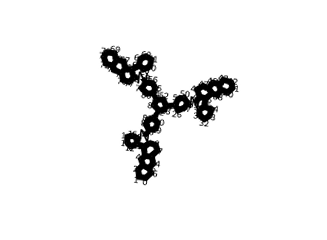 c1ccc2cc3c(ccc4c3c3ccccc3n4-c3ccc(-c4cc(-c5ccc(-n6c7ccccc7c7c8cc9ccccc9cc8ccc76)cc5)cc(-c5ccc(-n6c7ccccc7c7c8cc9ccccc9cc8ccc76)cc5)c4)cc3)cc2c1